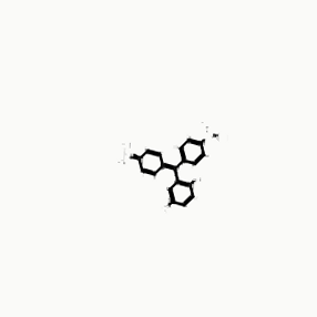 CCN(CC)c1ccc(C(=C2C=CC(=[N+](CC)CC)C=C2)c2cc(S(=O)(=O)O)ccc2S(=O)(=O)O)cc1